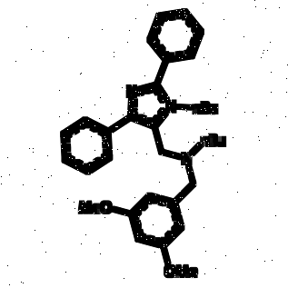 CCCCN(Cc1cc(OC)cc(OC)c1)Cc1c(-c2ccccc2)nc(-c2ccccc2)n1CCCC